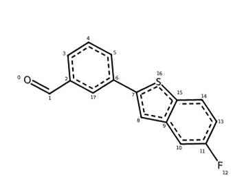 O=Cc1cccc(-c2cc3cc(F)ccc3s2)c1